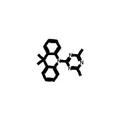 Cc1nc(C)nc(N2c3ccccc3C(C)(C)c3ccccc32)n1